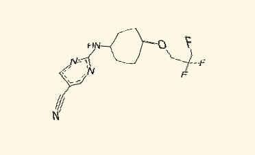 N#Cc1cnc(NC2CCC(OCC(F)(F)F)CC2)nc1